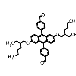 CCCCC(CC)COc1ccc2c(-c3ccc(C=O)cc3)c3cc(OCC(CC)CCCC)ccc3c(-c3ccc(C=O)cc3)c2c1